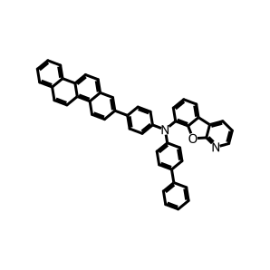 c1ccc(-c2ccc(N(c3ccc(-c4ccc5c(ccc6c7ccccc7ccc56)c4)cc3)c3cccc4c3oc3ncccc34)cc2)cc1